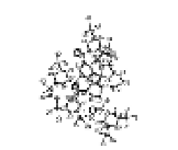 CC(C)(C)c1cc(C(=O)Cc2cc(C(=O)c3cc(C(C)(C)C)cc(C(C)(C)C)c3)cc(C3(c4cc(C(=O)c5cc(C(C)(C)C)cc(C(C)(C)C)c5)cc(C(=O)c5cc(C(C)(C)C)cc(C(C)(C)C)c5)c4)c4ccccc4-c4ccccc43)c2)cc(C(C)(C)C)c1